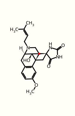 COc1ccc2c(c1)[C@]13CCN(CC=C(C)C)[C@H](C2)[C@]1(O)CC[C@@]1(C3)NC(=O)NC1=O